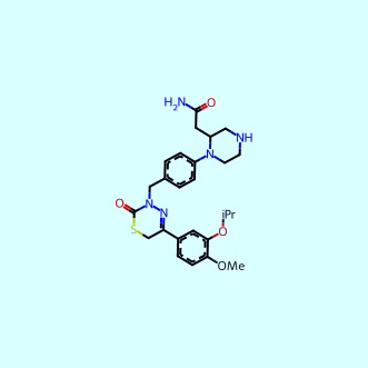 COc1ccc(C2=NN(Cc3ccc(N4CCNCC4CC(N)=O)cc3)C(=O)SC2)cc1OC(C)C